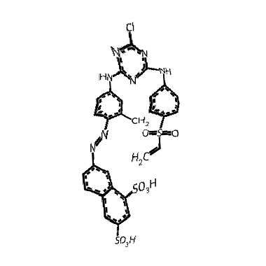 C=CS(=O)(=O)c1ccc(Nc2nc(Cl)nc(Nc3ccc(N=Nc4ccc5cc(S(=O)(=O)O)cc(S(=O)(=O)O)c5c4)c(C)c3)n2)cc1